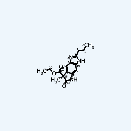 CCCc1nc2cc3c(cc2[nH]1)NC(=O)C3(C)C(=O)OCC